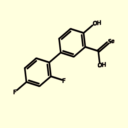 OC(=[Se])c1cc(-c2ccc(F)cc2F)ccc1O